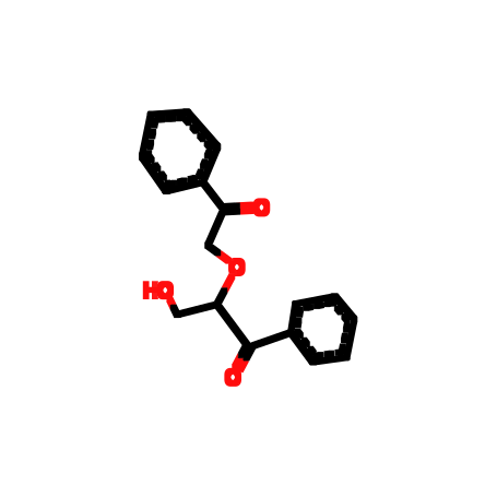 O=C(COC(CO)C(=O)c1ccccc1)c1ccccc1